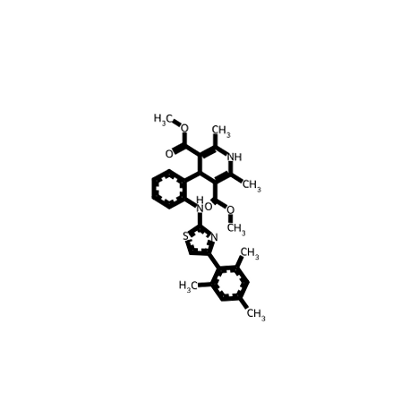 COC(=O)C1=C(C)NC(C)=C(C(=O)OC)C1c1ccccc1Nc1nc(-c2c(C)cc(C)cc2C)cs1